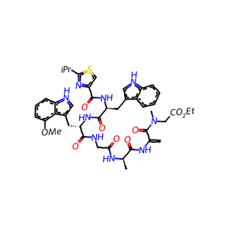 C=C(NC(=O)[C@@H](C)NC(=O)CNC(=O)[C@H](Cc1c[nH]c2cccc(OC)c12)NC(=O)[C@H](Cc1c[nH]c2ccccc12)NC(=O)c1csc(C(C)C)n1)C(=O)N(C)CC(=O)OCC